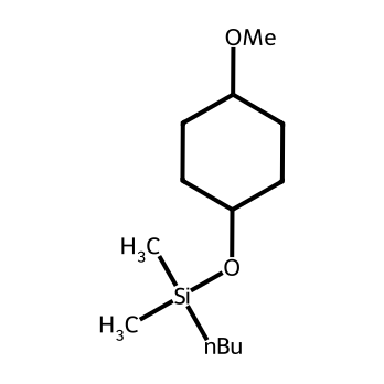 CCCC[Si](C)(C)OC1CCC(OC)CC1